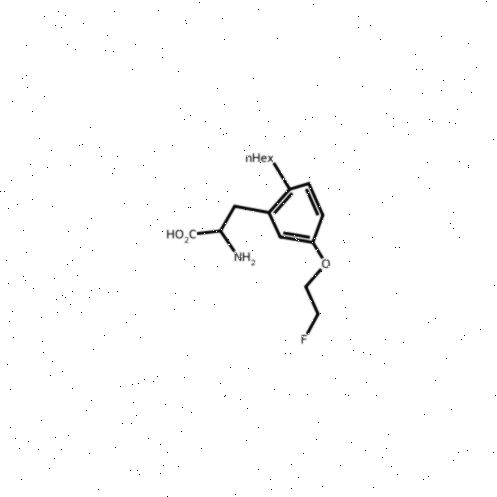 CCCCCCc1ccc(OCCF)cc1CC(N)C(=O)O